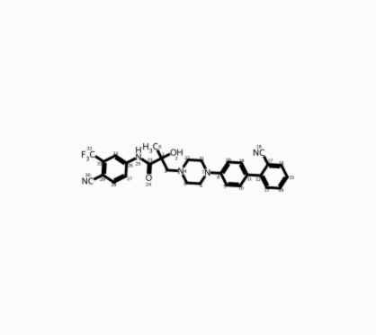 CC(O)(CN1CCN(c2ccc(-c3ccccc3C#N)cc2)CC1)C(=O)Nc1ccc(C#N)c(C(F)(F)F)c1